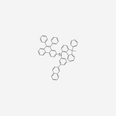 CC1(c2ccccc2)c2ccccc2-c2c(N(c3cccc(-c4ccc5ccccc5c4)c3)c3ccc4c(c3)c(-c3ccccc3)c(-c3ccccc3)c3ccccc34)cccc21